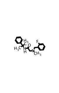 CN(CC(=O)NC(C)(C)c1ccccc1)Cc1ccccc1F